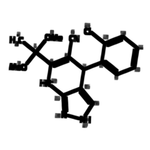 COC(C)(OC)C1=C(C#N)C(c2ccccc2Cl)c2c[nH]nc2N1